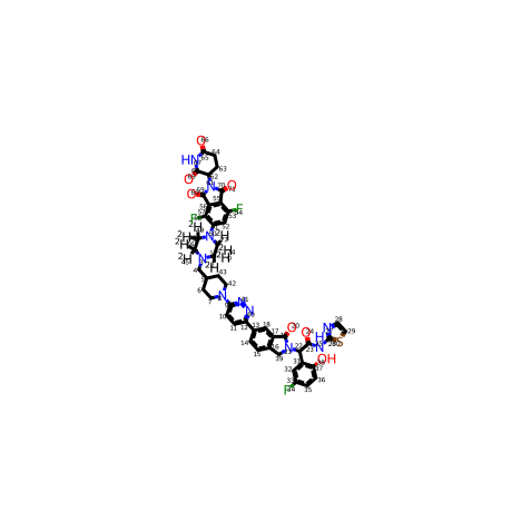 [2H]C1([2H])N(CC2CCN(c3ccc(-c4ccc5c(c4)C(=O)N(C(C(=O)Nc4nccs4)c4cc(F)ccc4O)C5)nn3)CC2)C([2H])([2H])C([2H])([2H])N(c2cc(F)c3c(c2F)C(=O)N(C2CCC(=O)NC2=O)C3=O)C1([2H])[2H]